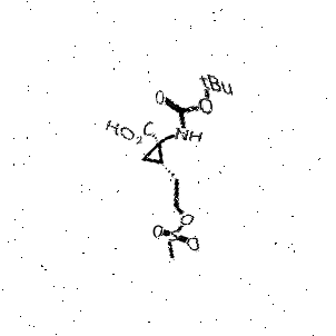 CC(C)(C)OC(=O)N[C@]1(C(=O)O)C[C@H]1CCOS(C)(=O)=O